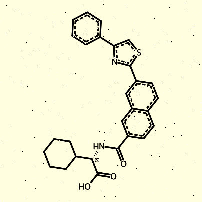 O=C(N[C@H](C(=O)O)C1CCCCC1)c1ccc2ccc(-c3nc(-c4ccccc4)cs3)cc2c1